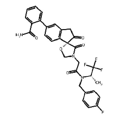 C[C@H](N(Cc1ccc(F)cc1)C(=O)CN1CO[C@]2(C(=O)Cc3cc(-c4ccccc4C(N)=O)ccc32)C1=O)C(F)(F)F